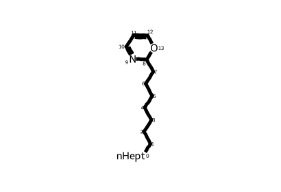 CCCCCCCCCCCCCCC1N=CC=CO1